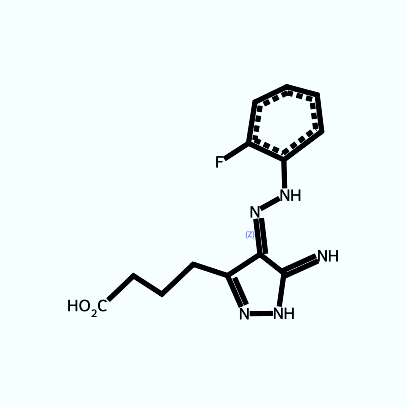 N=C1NN=C(CCCC(=O)O)/C1=N/Nc1ccccc1F